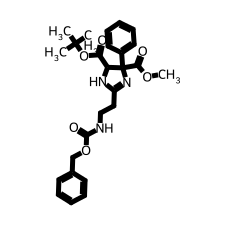 COC(=O)C1(c2ccccc2)N=C(CCNC(=O)OCc2ccccc2)NC1C(=O)OC(C)(C)C